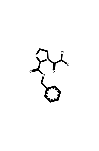 O=C(OCc1ccccc1)C1SCCN1C(=O)C(Cl)Cl